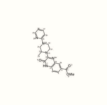 COC(=O)c1ccc2[nH]c(=O)c(N3CCN(c4ccccn4)CC3C)nc2c1